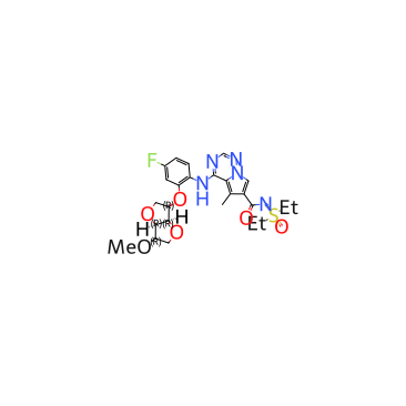 CCS(=O)(CC)=NC(=O)c1cn2ncnc(Nc3ccc(F)cc3O[C@@H]3CO[C@H]4[C@@H]3OC[C@H]4OC)c2c1C